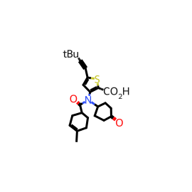 CC1=CCC(C(=O)N(c2cc(C#CC(C)(C)C)sc2C(=O)O)C2CCC(=O)CC2)CC1